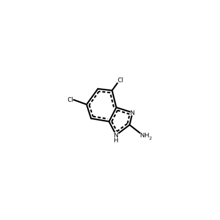 Nc1nc2c(Cl)cc(Cl)cc2[nH]1